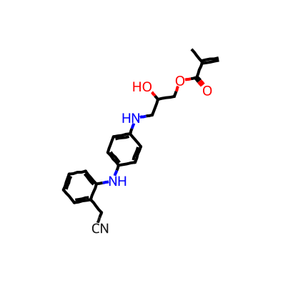 C=C(C)C(=O)OCC(O)CNc1ccc(Nc2ccccc2CC#N)cc1